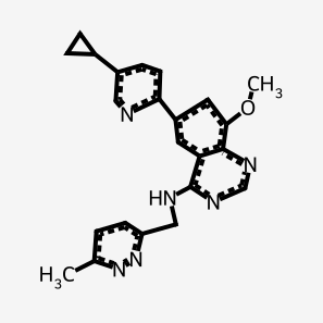 COc1cc(-c2ccc(C3CC3)cn2)cc2c(NCc3ccc(C)nn3)ncnc12